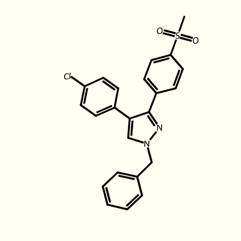 CS(=O)(=O)c1ccc(-c2nn(Cc3ccccc3)cc2-c2ccc(Cl)cc2)cc1